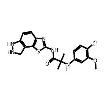 COc1cc(NC(C)(C)C(=O)Nc2nc3ccc4c(c3s2)CNN4)ccc1Cl